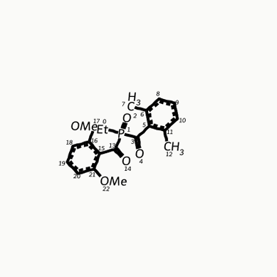 CCP(=O)(C(=O)c1c(C)cccc1C)C(=O)c1c(OC)cccc1OC